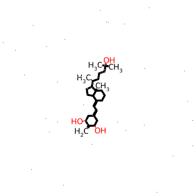 C=C1[C@H](O)CC(=C/C=C2\CCCC3(C)C2CCC3[C@H](C)CCCC(C)(C)O)C[C@H]1O